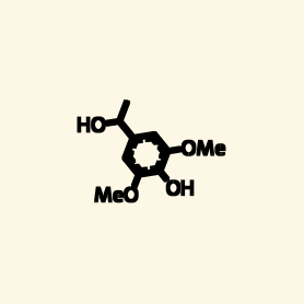 COc1cc(C(C)O)cc(OC)c1O